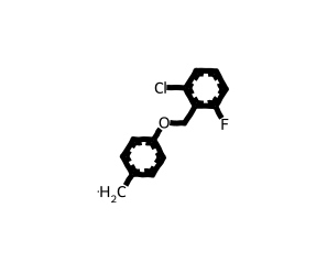 [CH2]c1ccc(OCc2c(F)cccc2Cl)cc1